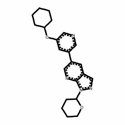 c1ncc(-c2cnc3c(cnn3C3CCCCO3)c2)cc1OC1CCCCC1